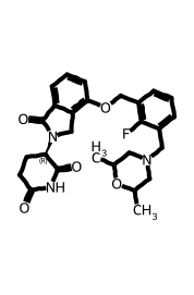 CC1CN(Cc2cccc(COc3cccc4c3CN([C@@H]3CCC(=O)NC3=O)C4=O)c2F)CC(C)O1